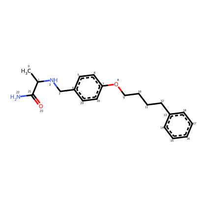 CC(NCc1ccc(OCCCCc2ccccc2)cc1)C(N)=O